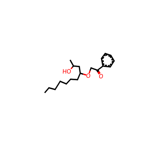 CCCCCCCC(CC(C)O)OCC(=O)c1ccccc1